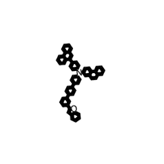 c1cc(-c2ccc(-c3ccc(N(c4ccc(-c5cc6ccccc6c6ccccc56)cc4)c4ccc5c(ccc6ccccc65)c4)cc3)cc2)cc(-c2cc3ccccc3o2)c1